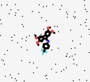 COc1cc2c(cc1OC)-c1cc(OC)c(OC)cc1C2=Nc1ccc(C(F)(F)F)cc1